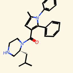 Cc1cc(C(=O)N2CCNC[C@H]2CC(C)C)c(-c2ccccc2)n1-c1ccccc1